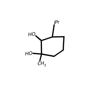 CC(C)C1CCCC(C)(O)C1O